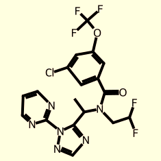 CC(c1ncnn1-c1ncccn1)N(CC(F)F)C(=O)c1cc(Cl)cc(OC(F)(F)F)c1